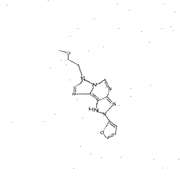 COCCN1C=NC2=C3NN(c4ccco4)N=C3N=CN21